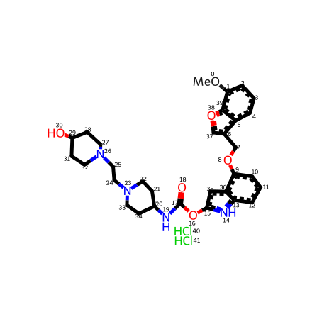 COc1cccc2c(COc3cccc4[nH]c(OC(=O)NC5CCN(CCN6CCC(O)CC6)CC5)cc34)coc12.Cl.Cl